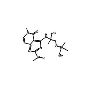 CCCCC(C)(CO[Si](C)(C)C(C)(C)C)Nc1nc([S+](C)[O-])nc2ccn(C)c(=O)c12